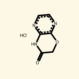 Cl.O=C1COc2nccnc2N1